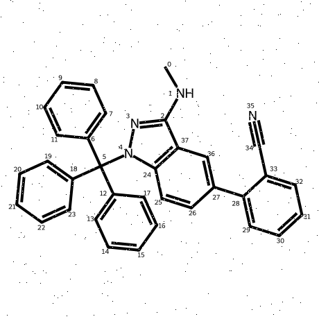 CNc1nn(C(c2ccccc2)(c2ccccc2)c2ccccc2)c2ccc(-c3ccccc3C#N)cc12